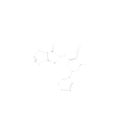 CSc1nc(-c2ccccc2)nc(NN2C(=O)c3ccccc3C2=O)c1C#N